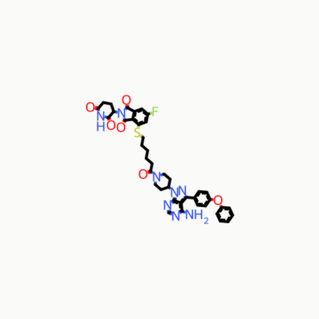 Nc1ncnc2c1c(-c1ccc(Oc3ccccc3)cc1)nn2C1CCN(C(=O)CCCCCSc2cc(F)cc3c2C(=O)N(C2CCC(=O)NC2=O)C3=O)CC1